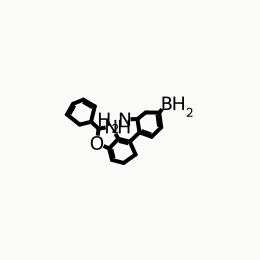 BC1=CC=C(C2=C3NC(C4C=CC=CC4)OC3=CCC2)C(N)C1